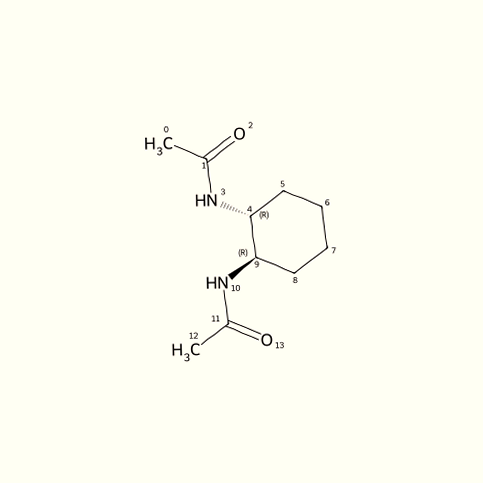 CC(=O)N[C@@H]1CCCC[C@H]1NC(C)=O